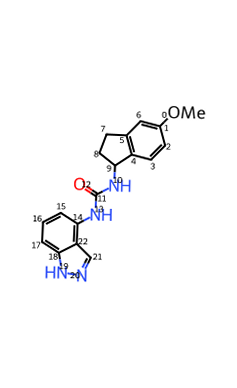 COc1ccc2c(c1)CCC2NC(=O)Nc1cccc2[nH]ncc12